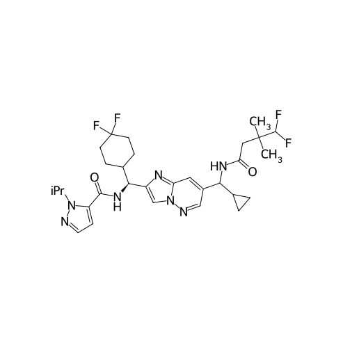 CC(C)n1nccc1C(=O)N[C@H](c1cn2ncc(C(NC(=O)CC(C)(C)C(F)F)C3CC3)cc2n1)C1CCC(F)(F)CC1